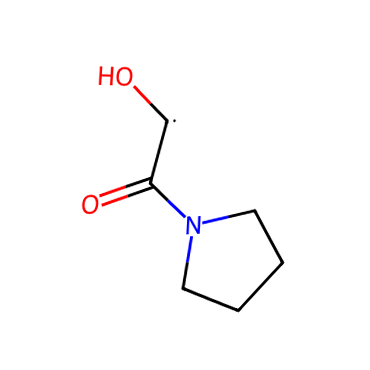 O=C([CH]O)N1CCCC1